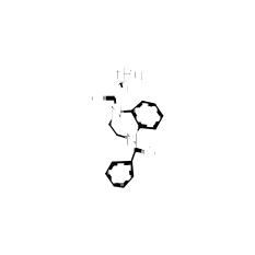 CC(C)(C)OC(=O)N1CCN(C(=O)c2ccccc2)c2ccccc21